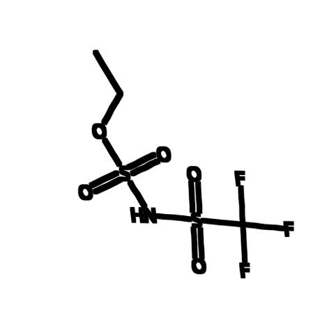 CCOS(=O)(=O)NS(=O)(=O)C(F)(F)F